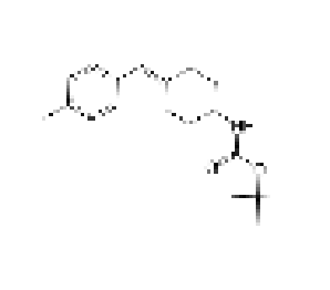 Cc1ccc(C=C2CCC(NC(=O)OC(C)(C)C)CC2)cc1